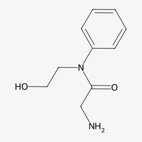 NCC(=O)N(CCO)c1ccccc1